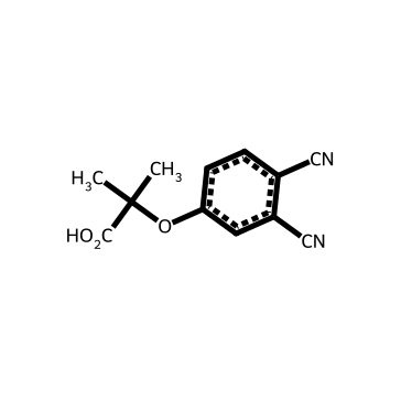 CC(C)(Oc1ccc(C#N)c(C#N)c1)C(=O)O